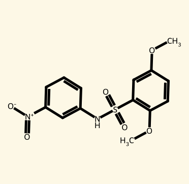 COc1ccc(OC)c(S(=O)(=O)Nc2cccc([N+](=O)[O-])c2)c1